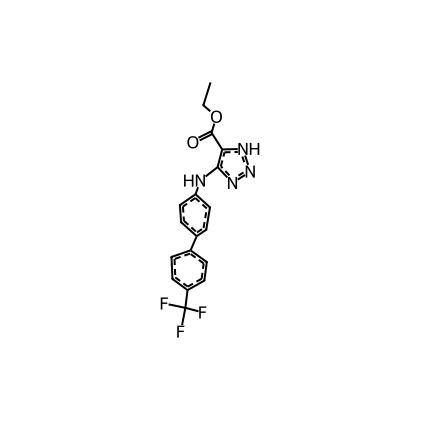 CCOC(=O)c1[nH]nnc1Nc1ccc(-c2ccc(C(F)(F)F)cc2)cc1